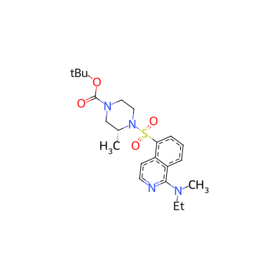 CCN(C)c1nccc2c(S(=O)(=O)N3CCN(C(=O)OC(C)(C)C)C[C@H]3C)cccc12